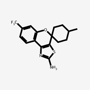 CC1CCC2(CC1)Oc1cc(C(F)(F)F)ccc1-c1nc(N)sc12